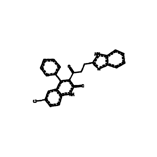 O=C(CCc1nc2ccccc2[nH]1)c1c(-c2ccccc2)c2cc(Cl)ccc2[nH]c1=O